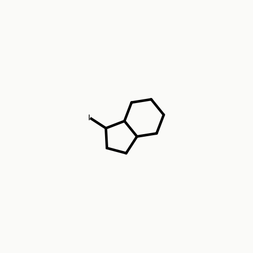 IC1CCC2CCCCC12